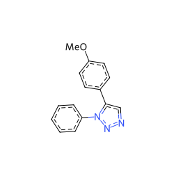 COc1ccc(-c2cnnn2-c2ccccc2)cc1